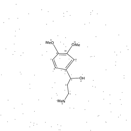 CNCCC(O)c1ccc(OC)c(OC)c1